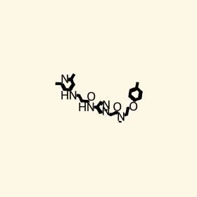 Cc1ccc(OCCN(C)C(=O)Cn2cc(NC(=O)CCNc3cc(C)nc(C)c3)cn2)cc1